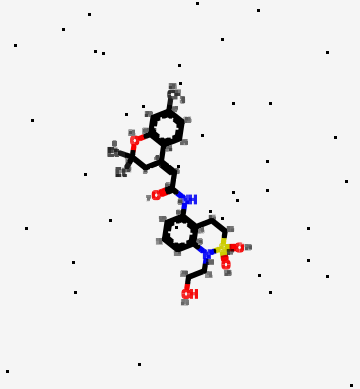 CCC1(CC)C/C(=C\C(=O)Nc2cccc3c2CCS(=O)(=O)N3CCO)c2ccc(C(F)(F)F)cc2O1